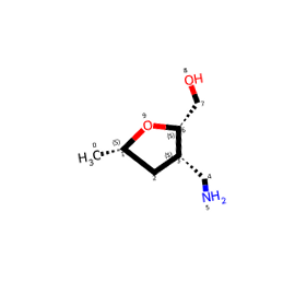 C[C@H]1C[C@@H](CN)[C@@H](CO)O1